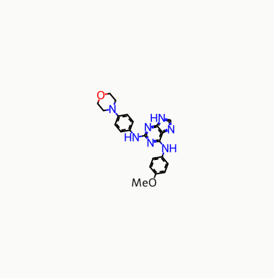 COc1ccc(Nc2nc(Nc3ccc(N4CCOCC4)cc3)nc3[nH]cnc23)cc1